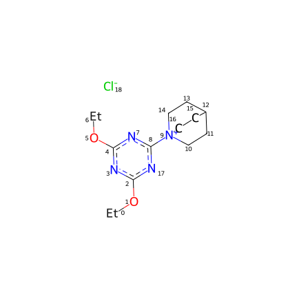 CCOc1nc(OCC)nc([N+]23CCC(CC2)CC3)n1.[Cl-]